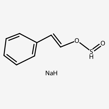 O=[SH]OC=Cc1ccccc1.[NaH]